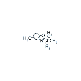 Cc1ccc2oc(C(C)(C)C)nc2c1